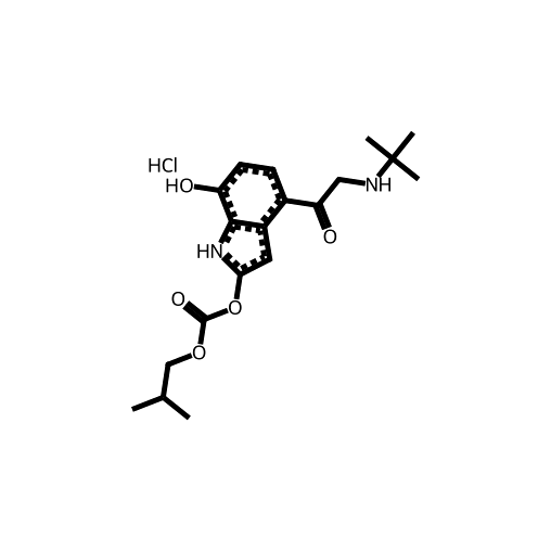 CC(C)COC(=O)Oc1cc2c(C(=O)CNC(C)(C)C)ccc(O)c2[nH]1.Cl